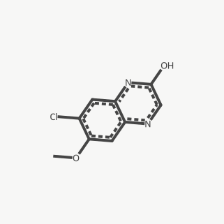 COc1cc2ncc(O)nc2cc1Cl